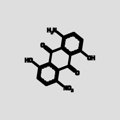 Nc1ccc(O)c2c1C(=O)c1c(O)ccc([N+](=O)[O-])c1C2=O